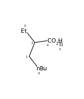 CCCCCC(CC)C(=O)O.[Ti]